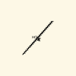 CCCCCCCCCCCCCCCCCCCCCCC(CCCCCCCCCCCCCCCCCCCCCC)N(C)C(C)C.Cl